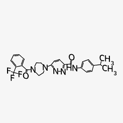 CC(C)c1ccc(NC(=O)c2ccc(N3CCN(C(=O)c4ccccc4C(F)(F)F)CC3)nn2)cc1